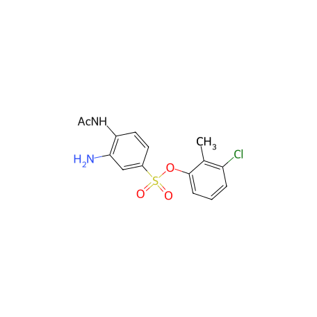 CC(=O)Nc1ccc(S(=O)(=O)Oc2cccc(Cl)c2C)cc1N